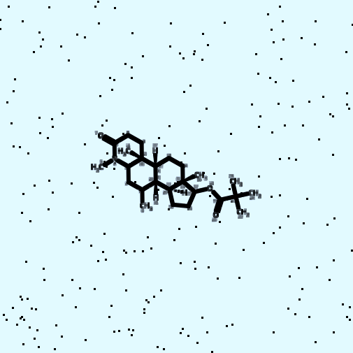 CC1CC2N(C)C(=O)CC[C@]2(C)[C@@H]2CC[C@]3(C)C(OC(=O)C(C)(C)C)CC[C@H]3[C@H]12